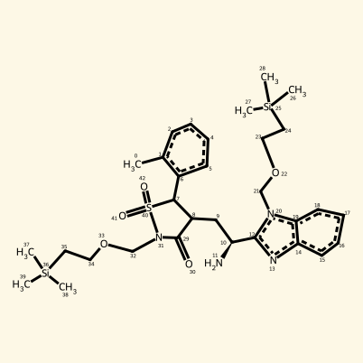 Cc1ccccc1C1C(C[C@H](N)c2nc3ccccc3n2COCC[Si](C)(C)C)C(=O)N(COCC[Si](C)(C)C)S1(=O)=O